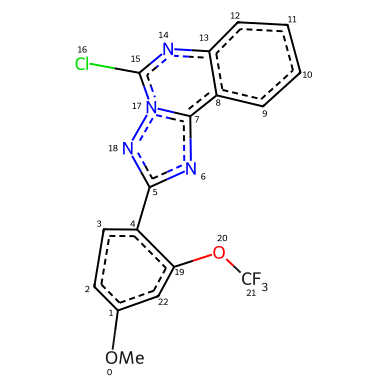 COc1ccc(-c2nc3c4ccccc4nc(Cl)n3n2)c(OC(F)(F)F)c1